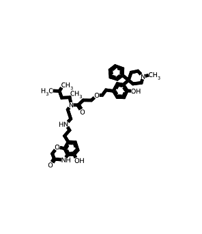 CC(C)C[C@@H](C)N(CCNCCc1ccc(O)c2c1OCC(=O)N2)C(=O)CCOCCc1ccc(O)c(C2(c3ccccc3)CCN(C)CC2)c1